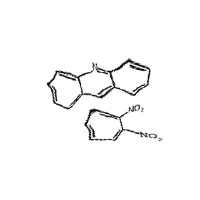 O=[N+]([O-])c1ccccc1[N+](=O)[O-].c1ccc2nc3ccccc3cc2c1